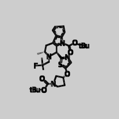 C[C@@H]1Cc2c(n(C(=O)OC(C)(C)C)c3ccccc23)[C@@H](c2ncc(O[C@@H]3CCN(C(=O)OC(C)(C)C)C3)s2)N1CC(C)(C)F